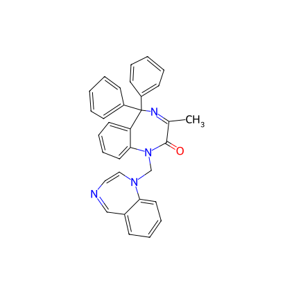 CC1=NC(c2ccccc2)(c2ccccc2)c2ccccc2N(CN2C=CN=Cc3ccccc32)C1=O